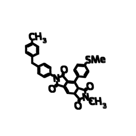 CSc1ccc(C2=C3C(=O)N(c4ccc(Cc5ccc(C)cc5)cc4)C(=O)C3=CC3C(=O)N(C)C(=O)C23)cc1